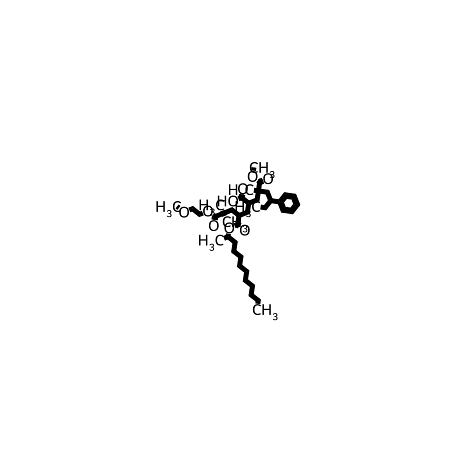 CCCCCCCCCCC(C)OC(=O)C(CC(CC(C)(CC(CC)c1ccccc1)C(=O)OC)C(=O)O)CC(C)(C)C(=O)OCCOC